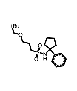 CC(C)(C)COCCCS(=O)(=O)NC1(c2ccccc2)CCCC1